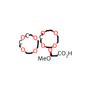 C1COCCOCCOCCO1.C1COCCOCCOCCO1.COC(=O)CC(=O)O